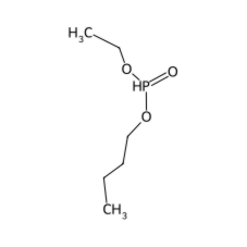 CCCCO[PH](=O)OCC